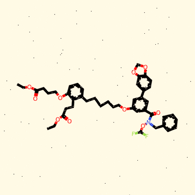 CCOC(=O)CCCOc1cccc(CCCCCCOc2cc(C(=O)N(Cc3ccccc3)OC(F)F)cc(-c3ccc4c(c3)OCO4)c2)c1CCC(=O)OCC